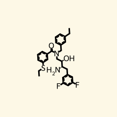 CCSc1cccc(C(=O)N(Cc2cccc(CC)c2)C[C@@H](O)[C@@H](N)Cc2cc(F)cc(F)c2)c1